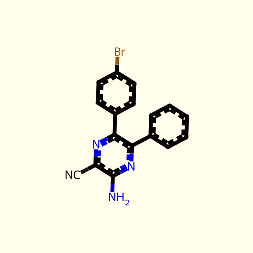 N#Cc1nc(-c2ccc(Br)cc2)c(-c2ccccc2)nc1N